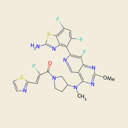 COc1nc(N(C)C2CCN(C(=O)/C(F)=C/c3nccs3)C2)c2cnc(-c3c(F)cc(F)c4sc(N)nc34)c(F)c2n1